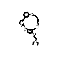 CCN(CC)CCOc1ccc2cc1COC/C=C/CCOc1cccc(c1)-c1ccnc(n1)N2